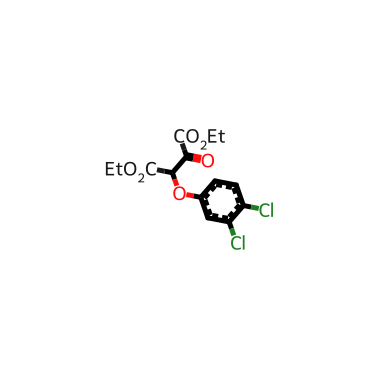 CCOC(=O)C(=O)C(Oc1ccc(Cl)c(Cl)c1)C(=O)OCC